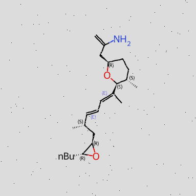 C=C(N)C[C@H]1CC[C@H](C)[C@@H](/C(C)=C/C=C/[C@@H](C)C[C@H]2O[C@@H]2CCCC)O1